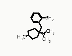 Bc1ccccc1CC1(N(C)C)CCC(C)CC1